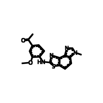 COc1cc(C(C)=O)ccc1Nc1nc2c(ccc3c2ncn3C)s1